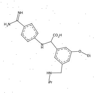 CCOc1cc(CNC(C)C)cc(C(Nc2ccc(C(=N)N)cc2)C(=O)O)c1